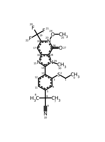 CCSc1cc(C(C)(C)C#N)ccc1-c1nc2cc(C(F)(F)F)n(OC)c(=O)c2n1C